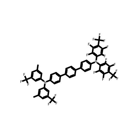 Cc1cc(N(c2ccc(-c3ccc(-c4ccc(N(c5c(F)c(F)c(C(F)(F)F)c(F)c5F)c5c(F)c(F)c(C(F)(F)F)c(F)c5F)cc4)cc3)cc2)c2cc(C)cc(C(F)(F)F)c2)cc(C(F)(F)F)c1